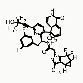 CC(C)(O)C#Cc1ccc(C2(C)C=CC=C3C(=O)NC=CC32)c([C@H](Cc2cc(F)cc(F)c2)NC(=O)Cn2nc(C(F)(F)F)c3c2C(F)(F)[C@@H]2C[C@H]32)n1